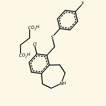 Fc1ccc(SCc2c(Cl)ccc3c2CCNCC3)cc1.O=C(O)CCC(=O)O